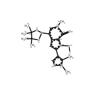 Cc1c(-c2cc3c(B4OC(C)(C)C(C)(C)O4)cn(C)c(=O)c3n2SI)cnn1C